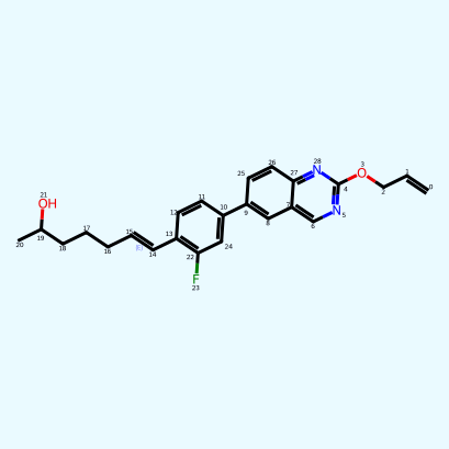 C=CCOc1ncc2cc(-c3ccc(/C=C/CCCC(C)O)c(F)c3)ccc2n1